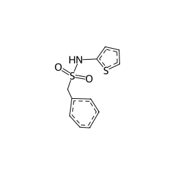 O=S(=O)(Cc1ccccc1)Nc1cccs1